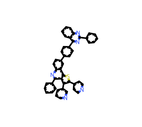 c1ccc(-c2nc(-c3ccc(-c4ccc5nc(-c6ccccc6)c6c(-c7cccnc7)c(-c7ccncc7)sc6c5c4)cc3)c3ccccc3n2)cc1